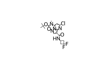 CN(C(=O)OC(C)(C)C)c1cc(Cl)nc2c(C(=O)NC3CC(F)(F)C3)cnn12